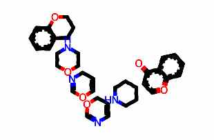 C1=CN=COC1.C1=COC=NC1.C1CCNCC1.C1COCCN1.O=c1ccoc2ccccc12.c1ccc2c(c1)CCCO2